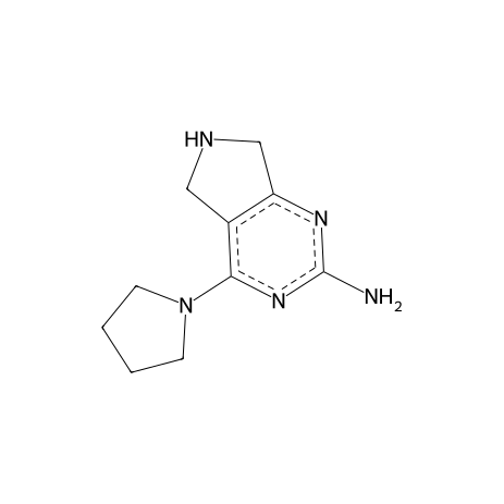 Nc1nc2c(c(N3CCCC3)n1)CNC2